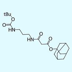 CC(C)(C)OC(=O)NCCCNC(=O)CC(=O)OC12CC3CC(CC(C3)C1)C2